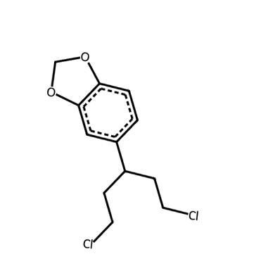 ClCCC(CCCl)c1ccc2c(c1)OCO2